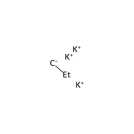 [CH2-][CH-][CH2-].[K+].[K+].[K+]